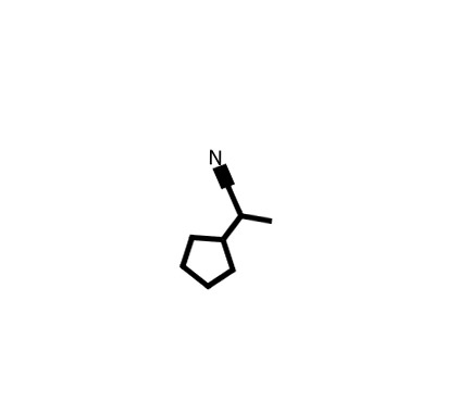 C[C](C#N)C1CCCC1